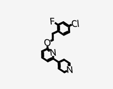 Fc1cc(Cl)ccc1CCOc1cccc(C2=CCN=CC2)n1